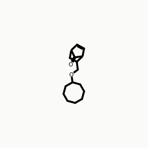 O=C1C2C=CC1C(COC1CCCCCCC1)C2